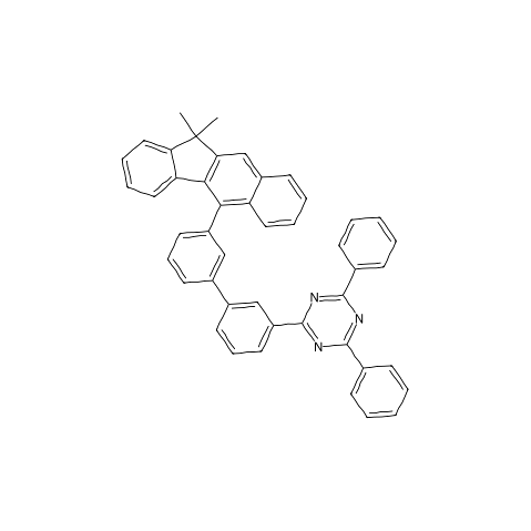 CC1(C)c2ccccc2-c2c1cc1ccccc1c2-c1cccc(-c2cccc(-c3nc(-c4ccccc4)nc(-c4ccccc4)n3)c2)c1